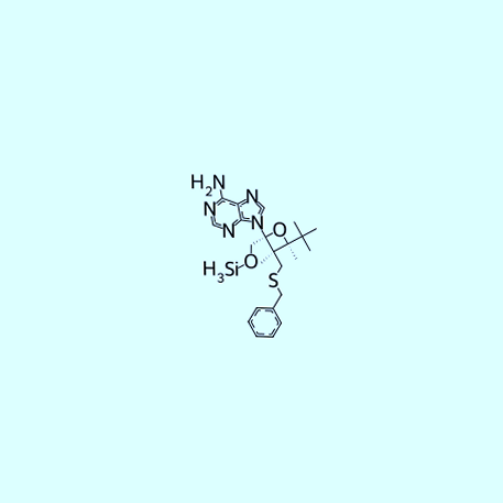 CC(C)(C)[C@]1(C)O[C@](CO[SiH3])(n2cnc3c(N)ncnc32)[C@]1(C)CSCc1ccccc1